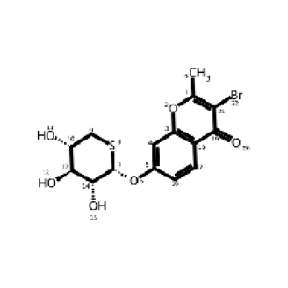 Cc1oc2cc(O[C@H]3SC[C@@H](O)[C@H](O)[C@H]3O)ccc2c(=O)c1Br